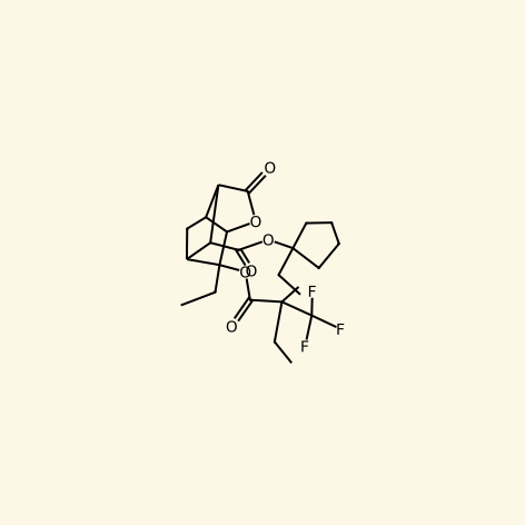 CCC1(OC(=O)C2C3C(=O)OC4C3CC2C4(CC)OC(=O)C(C)(CC)C(F)(F)F)CCCC1